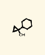 OC1(C2CCCCC2)CC1